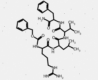 CC(C)CC(NC(=O)C(CCCNC(=N)N)NC(=O)OCc1ccccc1)C(=O)NC(C(=O)NC(Cc1ccccc1)C(N)=O)C(C)C